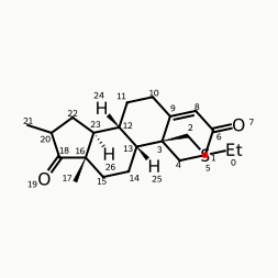 CCSC[C@]12CCC(=O)C=C1CC[C@@H]1[C@H]2CC[C@]2(C)C(=O)C(C)C[C@@H]12